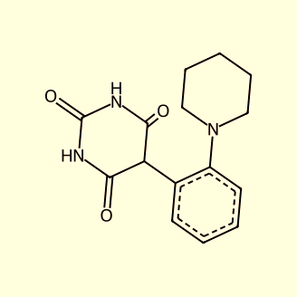 O=C1NC(=O)C(c2ccccc2N2CCCCC2)C(=O)N1